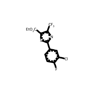 CCOC(=O)c1sc(-c2ccc(F)c(Cl)c2)nc1C(F)(F)F